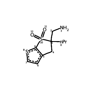 CCCC1(CN)Cc2ccsc2S1(=O)=O